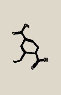 CCC1CC(C(=O)O)=CCC1C(=O)O